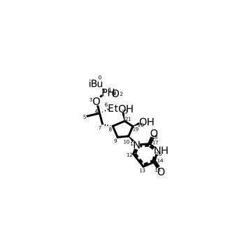 CC[C@@H](C)[PH](=O)O[C@@](C)(CC)C[C@H]1C[C@H](n2ccc(=O)[nH]c2=O)[C@H](O)[C@@H]1O